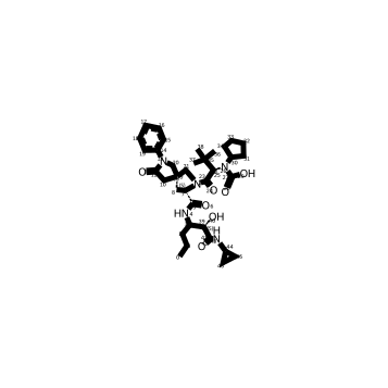 CCCC(NC(=O)[C@@H]1C[C@@]2(CC(=O)N(c3ccccc3)C2)CN1C(=O)[C@@H](N(C(=O)O)C1CCCC1)C(C)(C)C)[C@H](O)C(=O)NC1CC1